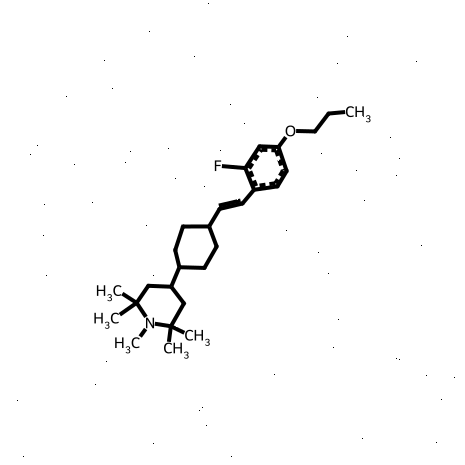 CCCOc1ccc(/C=C/C2CCC(C3CC(C)(C)N(C)C(C)(C)C3)CC2)c(F)c1